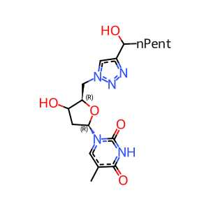 CCCCCC(O)c1cn(C[C@H]2O[C@@H](n3cc(C)c(=O)[nH]c3=O)CC2O)nn1